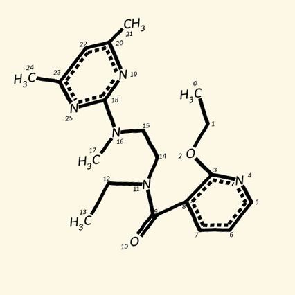 CCOc1ncccc1C(=O)N(CC)CCN(C)c1nc(C)cc(C)n1